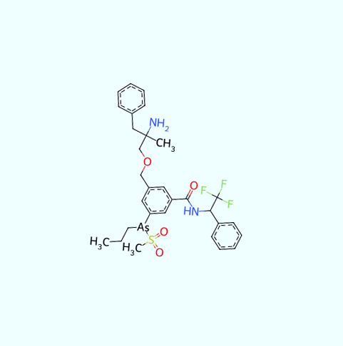 CCC[As](c1cc(COCC(C)(N)Cc2ccccc2)cc(C(=O)NC(c2ccccc2)C(F)(F)F)c1)S(C)(=O)=O